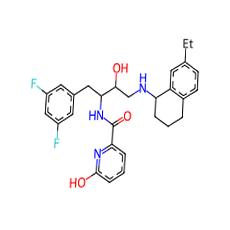 CCc1ccc2c(c1)C(NCC(O)C(Cc1cc(F)cc(F)c1)NC(=O)c1cccc(O)n1)CCC2